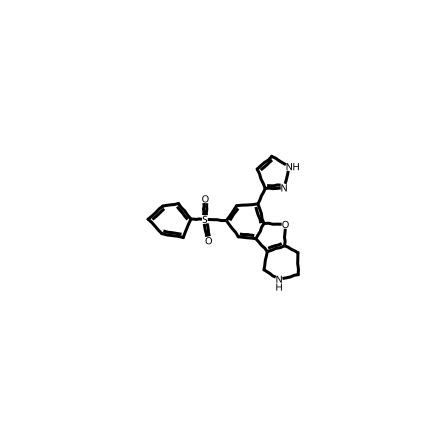 O=S(=O)(c1ccccc1)c1cc(-c2cc[nH]n2)c2oc3c(c2c1)CNCC3